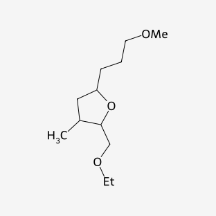 CCOCC1OC(CCCOC)CC1C